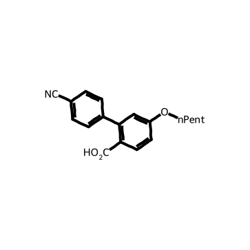 CCCCCOc1ccc(C(=O)O)c(-c2ccc(C#N)cc2)c1